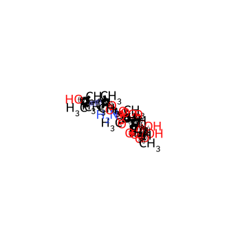 COc1cc([C@@H]2c3cc4c(cc3[C@@H](O[C@@H]3O[C@@H]5CO[C@@H](C)O[C@H]5[C@H](O)[C@H]3O)[C@H]3COC(=O)[C@H]23)OCO4)cc(OC)c1OC(=O)C(N)CC(=O)O[C@@H]1CC(C)=C(/C=C/C=C/C2=C(C)C[C@@H](O)CC2(C)C)C(C)(C)C1